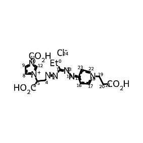 CCC(N=NCC(C(=O)O)[n+]1ccn(C(=O)O)c1)=NN=c1ccn(CCC(=O)O)cc1.[Cl-]